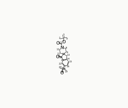 CC(C)(C)OC(=O)N1CCC2(CC1)Cc1ccc(P(C)(C)=O)cc1C2=O